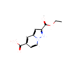 CCOC(=O)c1cc2cc(C(=O)O)ccn2n1